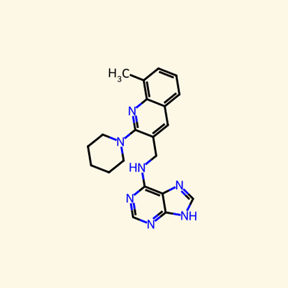 Cc1cccc2cc(CNc3ncnc4[nH]cnc34)c(N3CCCCC3)nc12